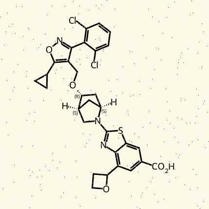 O=C(O)c1cc(C2CCO2)c2nc(N3C[C@@H]4C[C@H]3C[C@H]4OCc3c(-c4c(Cl)cccc4Cl)noc3C3CC3)sc2c1